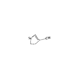 N#CC1=C[Se]CC1